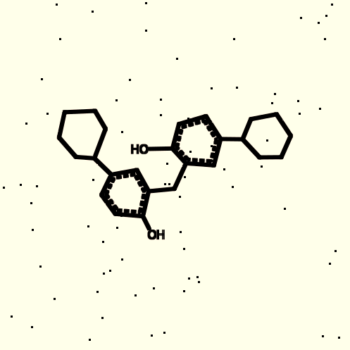 Oc1ccc(C2CCCCC2)cc1Cc1cc(C2CCCCC2)ccc1O